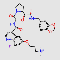 C[N+](C)(C)CCCOc1ccc2nccc(C(=O)NCC(=O)N3CCC[C@H]3C(=O)C(=O)NCc3ccc4c(c3)OCO4)c2c1.[I-]